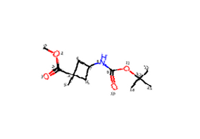 COC(=O)C1(C)CC(NC(=O)OC(C)(C)C)C1